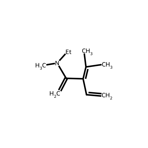 C=CC(C(=C)N(C)CC)=C(C)C